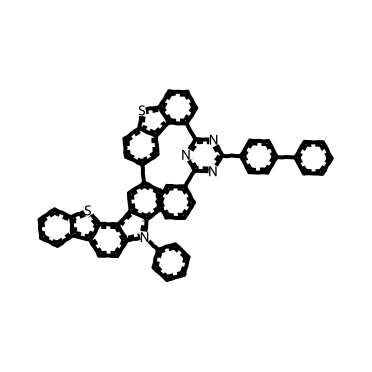 c1ccc(-c2ccc(-c3nc(-c4ccccc4)nc(-c4cccc5sc6ccc(-c7ccc8c(c7)c7c9sc%10ccccc%10c9ccc7n8-c7ccccc7)cc6c45)n3)cc2)cc1